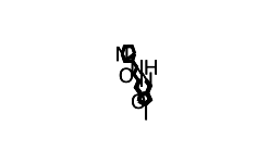 O=C(NC1CN2CCC1C2)c1cc2oc(I)cc2cn1